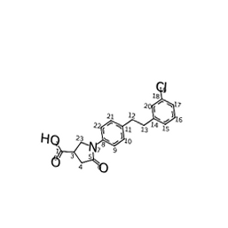 O=C(O)C1CC(=O)N(c2ccc(CCc3cccc(Cl)c3)cc2)C1